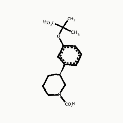 CC(C)(Oc1cccc([C@@H]2CCCN(C(=O)O)C2)c1)C(=O)O